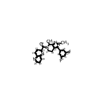 CC1c2nn(C)c(-c3cc(F)cc(F)c3)c2CCN1C(=O)c1ccc2ncccc2n1